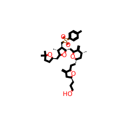 C=C1C[C@H](CCCO)OC1CC[C@H]1C[C@@H](C)C(=C)C(C[C@@H]2OC(C[C@H]3CCC(C)(C)O3)[C@H](C)[C@H]2CS(=O)(=O)c2ccc(C)cc2)O1